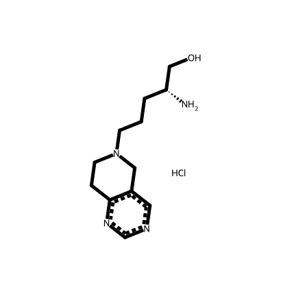 Cl.N[C@@H](CO)CCCN1CCc2ncncc2C1